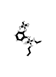 CCCSP(=O)(OCC)Oc1ccccc1OS(C)(=O)=O